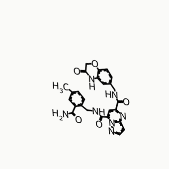 Cc1ccc(CNC(=O)c2cc(C(=O)NCc3ccc4c(c3)NC(=O)CO4)nc3ccnn23)c(C(N)=O)c1